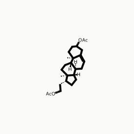 CC(=O)OCC[C@H]1CC[C@H]2[C@@H]3CC=C4CC(OC(C)=O)CC[C@]4(C)[C@H]3CC[C@]12C